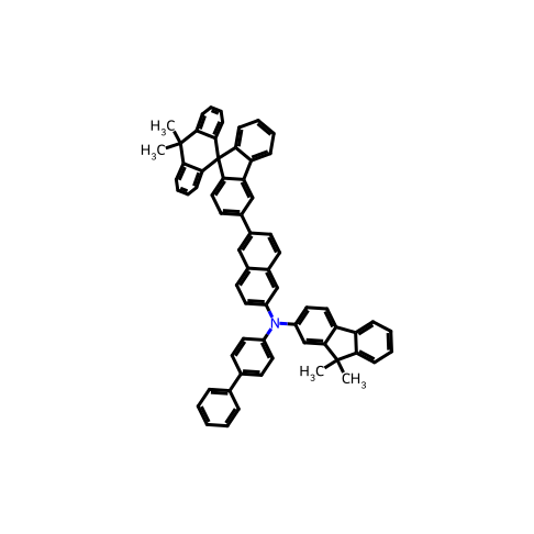 CC1(C)c2ccccc2-c2ccc(N(c3ccc(-c4ccccc4)cc3)c3ccc4cc(-c5ccc6c(c5)-c5ccccc5C65c6ccccc6C(C)(C)c6ccccc65)ccc4c3)cc21